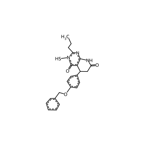 CCCc1nc2c(c(=O)n1S)C(c1ccc(OCc3ccccc3)cc1)CC(=O)N2